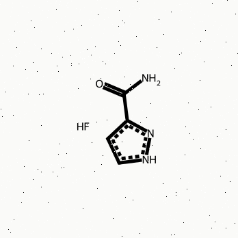 F.NC(=O)c1cc[nH]n1